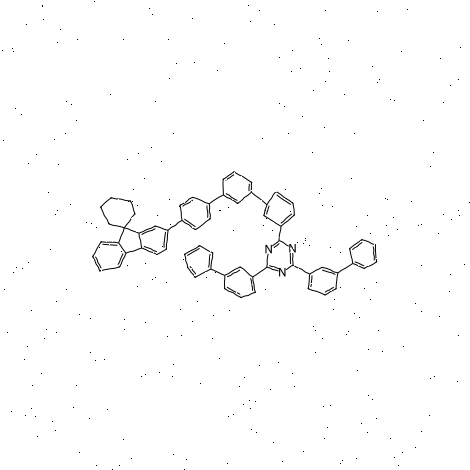 c1ccc(-c2cccc(-c3nc(-c4cccc(-c5ccccc5)c4)nc(-c4cccc(-c5cccc(-c6ccc(-c7ccc8c(c7)C7(CCCCC7)c7ccccc7-8)cc6)c5)c4)n3)c2)cc1